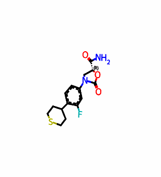 NC(=O)[C@H]1CN(c2ccc(C3CCSCC3)c(F)c2)C(=O)O1